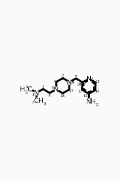 CN(C)CCN1CCN(Cc2cc(N)ccn2)CC1